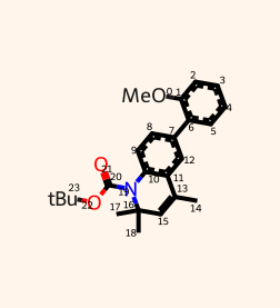 COc1ccccc1-c1ccc2c(c1)C(C)=CC(C)(C)N2C(=O)OC(C)(C)C